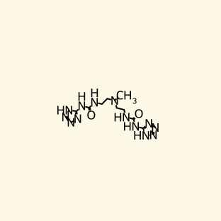 CN(CCNC(=O)Nc1nnn[nH]1)CCNC(=O)Nc1nnn[nH]1